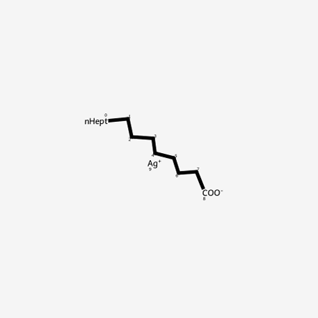 CCCCCCCCCCCCCCC(=O)[O-].[Ag+]